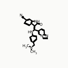 CN(C)Cc1ccc(NC(=C2C(=O)Nc3cc(C#N)ccc32)c2ccc3nccn3c2)cc1